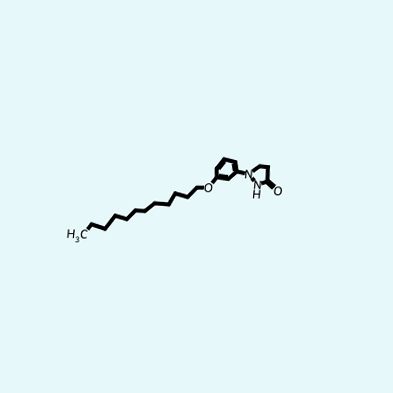 CCCCCCCCCCCCOc1cccc(N2CCC(=O)N2)c1